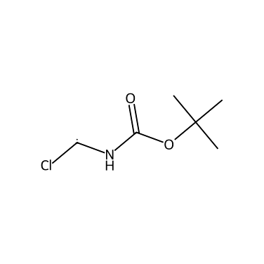 CC(C)(C)OC(=O)N[CH]Cl